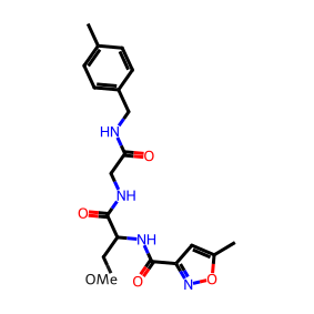 COCC(NC(=O)c1cc(C)on1)C(=O)NCC(=O)NCc1ccc(C)cc1